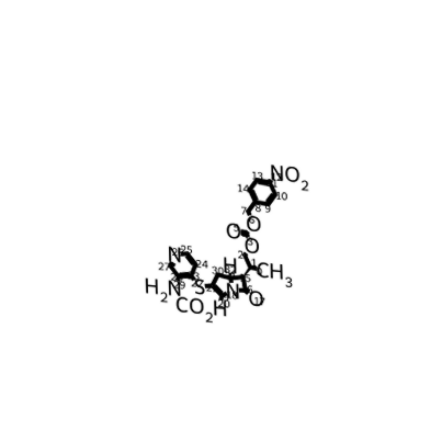 CC(COC(=O)OCc1ccc([N+](=O)[O-])cc1)[C@H]1C(=O)N2C(C(=O)O)=C(Sc3ccncc3N)C[C@H]12